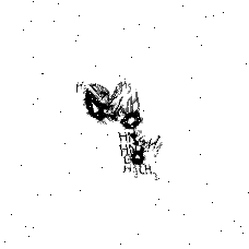 Cc1cc(C)c(NC(=S)NC[C@H]2CC[C@@H](Nc3nc(N(C)C)c4ccccc4n3)CC2)c(C)c1